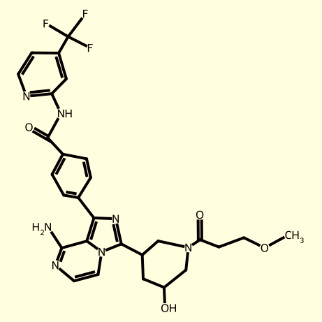 COCCC(=O)N1CC(O)CC(c2nc(-c3ccc(C(=O)Nc4cc(C(F)(F)F)ccn4)cc3)c3c(N)nccn23)C1